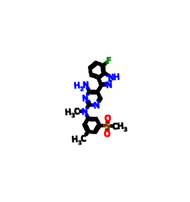 Cc1cc(N(C)c2ncc(-c3n[nH]c4c(F)cccc34)c(N)n2)cc(S(C)(=O)=O)c1